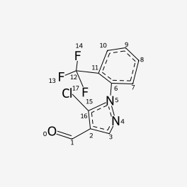 O=Cc1cnn(-c2ccccc2C(F)(F)F)c1Cl